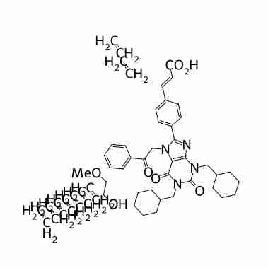 C=C.C=C.C=C.C=C.C=C.C=C.C=C.C=C.C=C.COCCO.O=C(O)/C=C/c1ccc(-c2nc3c(c(=O)n(CC4CCCCC4)c(=O)n3CC3CCCCC3)n2CC(=O)c2ccccc2)cc1